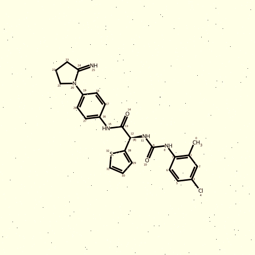 Cc1cc(Cl)ccc1NC(=O)N[C@H](C(=O)Nc1ccc(N2CCCC2=N)cc1)c1cccs1